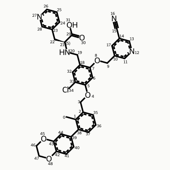 Cc1c(COc2cc(OCc3cncc(C#N)c3)c(CN[C@@H](Cc3cccnc3)C(=O)O)cc2Cl)cccc1-c1ccc2c(c1)OCCO2